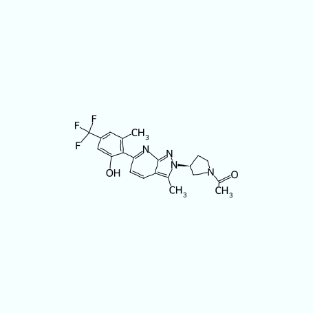 CC(=O)N1CC[C@H](n2nc3nc(-c4c(C)cc(C(F)(F)F)cc4O)ccc3c2C)C1